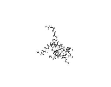 CCCCCCC(CCC(=O)OC(C)(C)CCCC(C)C)OC(=O)OC(CCCCCC)CCC(=O)OC(C)(C)CCCC(C)C